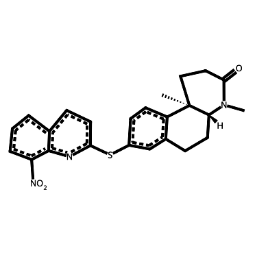 CN1C(=O)CC[C@]2(C)c3ccc(Sc4ccc5cccc([N+](=O)[O-])c5n4)cc3CC[C@@H]12